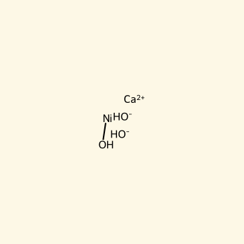 [Ca+2].[OH-].[OH-].[OH][Ni]